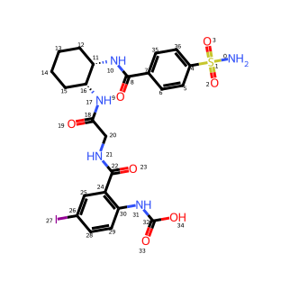 NS(=O)(=O)c1ccc(C(=O)N[C@H]2CCCC[C@H]2NC(=O)CNC(=O)c2cc(I)ccc2NC(=O)O)cc1